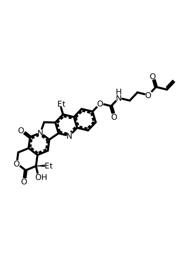 C=CC(=O)OCCNC(=O)Oc1ccc2nc3c(c(CC)c2c1)Cn1c-3cc2c(c1=O)COC(=O)[C@]2(O)CC